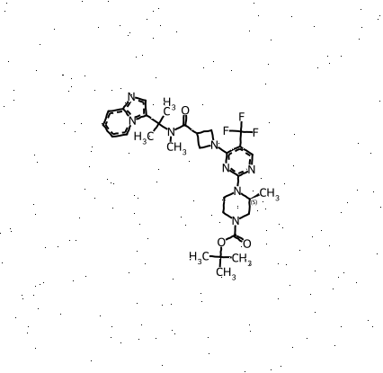 C[C@H]1CN(C(=O)OC(C)(C)C)CCN1c1ncc(C(F)(F)F)c(N2CC(C(=O)N(C)C(C)(C)c3cnc4ccccn34)C2)n1